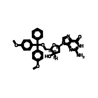 [2H][C@]1(O)C[C@H](n2cnc3c(=O)[nH]c(N)nc32)O[C@@H]1COC(c1ccccc1)(c1ccc(OC)cc1)c1ccc(OC)cc1